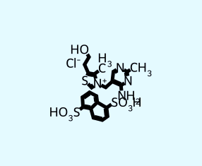 Cc1ncc(C[n+]2csc(CCO)c2C)c(N)n1.O=S(=O)(O)c1cccc2c(S(=O)(=O)O)cccc12.[Cl-]